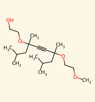 COCCOC(C)(C#CC(C)(CC(C)C)OCCO)CC(C)C